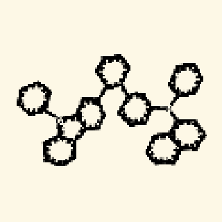 c1ccc(N(c2cccc(-c3ccccc3-c3ccc4c5ccccc5n(-c5ccccc5)c4c3)c2)c2cccc3ccccc23)cc1